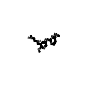 CNCCNCc1cc(Nc2nccc(NC)n2)cnc1OC